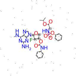 CNc1nc(N)nc2c1ncn2[C@@H]1O[C@H](COP(=O)(N[C@@H](C)C(=O)OC(C)C)Oc2ccccc2)[C@@H](OC(=O)Nc2ccccc2)[C@@]1(C)F